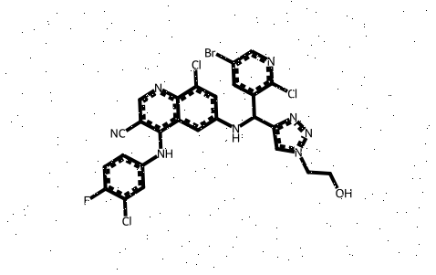 N#Cc1cnc2c(Cl)cc(NC(c3cn(CCO)nn3)c3cc(Br)cnc3Cl)cc2c1Nc1ccc(F)c(Cl)c1